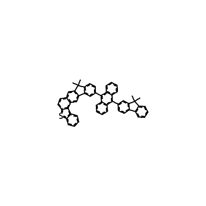 CC1(C)c2ccccc2-c2ccc(-c3c4ccccc4c(-c4ccc5c(c4)-c4cc6c(ccc7sc8ccccc8c76)cc4C5(C)C)c4ccccc34)cc21